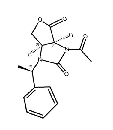 CC(=O)N1C(=O)N([C@H](C)c2ccccc2)[C@H]2COC(=O)[C@H]21